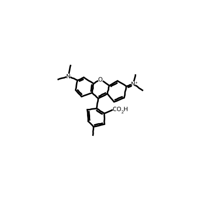 Cc1ccc(-c2c3ccc(=[N+](C)C)cc-3oc3cc(N(C)C)ccc23)c(C(=O)O)c1